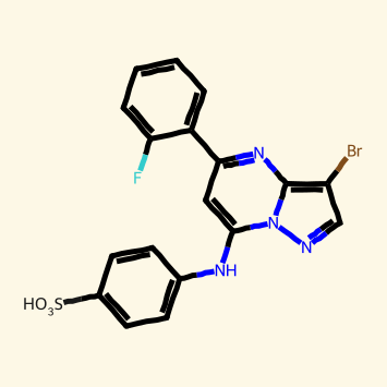 O=S(=O)(O)c1ccc(Nc2cc(-c3ccccc3F)nc3c(Br)cnn23)cc1